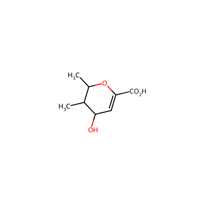 CC1OC(C(=O)O)=CC(O)C1C